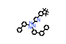 CC1(C)c2ccc(-c3ccc(-c4nc(-c5cccc(-c6ccccc6)c5)nc(-c5cccc(-c6cccc(-c7ccccc7)c6)c5)n4)cn3)cc2C(C)(C)C1(C)C